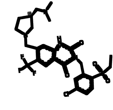 CCS(=O)(=O)c1ccc(Cl)cc1Cn1c(=O)[nH]c2cc(CN3CC[C@@H](CN(C)C)C3)c(C(F)(F)F)cc2c1=O